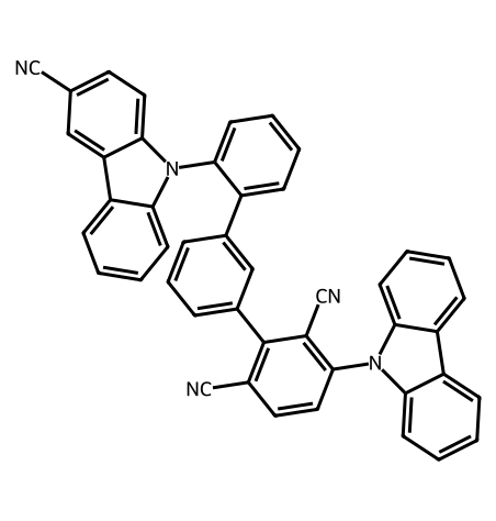 N#Cc1ccc2c(c1)c1ccccc1n2-c1ccccc1-c1cccc(-c2c(C#N)ccc(-n3c4ccccc4c4ccccc43)c2C#N)c1